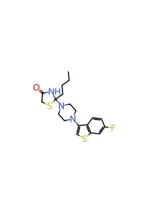 CCCCC1(N2CCN(c3csc4cc(F)ccc34)CC2)NC(=O)CS1